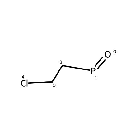 O=PCCCl